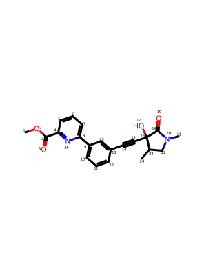 COC(=O)c1cccc(-c2cccc(C#CC3(O)C(=O)N(C)CC3C)c2)n1